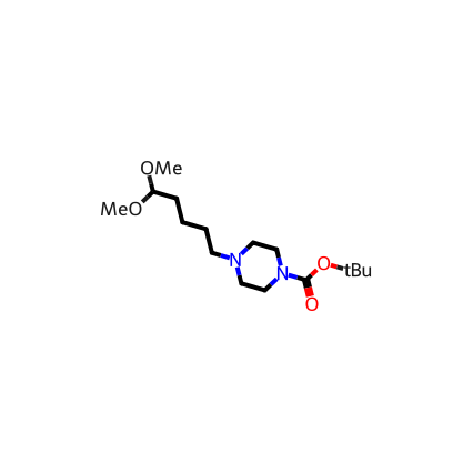 COC(CCCCN1CCN(C(=O)OC(C)(C)C)CC1)OC